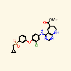 COC(=O)C1=Cc2c(ncnc2Nc2ccc(Oc3cccc(S(=O)(=O)CC4CC4)c3)c(Cl)c2)NCC1